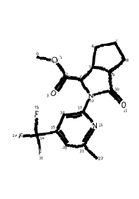 COC(=O)C1C2CCCC2C(=O)N1c1cc(C(F)(F)F)cc(C)n1